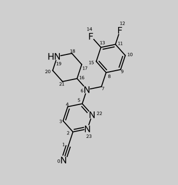 N#Cc1ccc(N(Cc2ccc(F)c(F)c2)C2CCNCC2)nn1